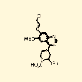 COc1cc2c(N3CCN(C(=O)O)C(C(C)(C)C)C3)ncnc2cc1OCCCl